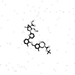 COC[C@H]1N(c2cccc(-c3cccc(C)c3OCc3cc(C)c4c(c3)OCCN(C(=O)OC(C)(C)C)C4)n2)C[C@@H]2C[C@@]21C(=O)OC